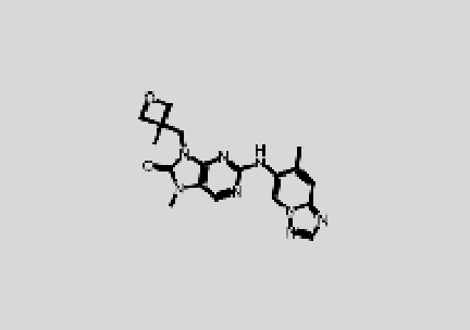 Cc1cc2ncnn2cc1Nc1ncc2c(n1)n(CC1(C)COC1)c(=O)n2C